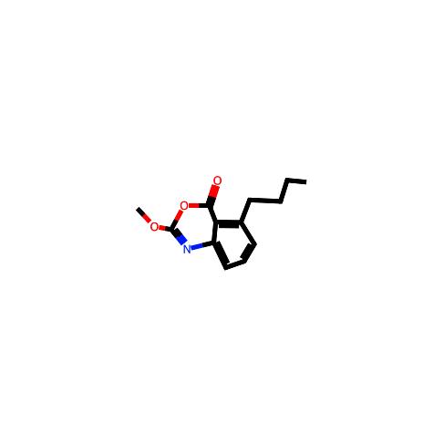 CCCCc1cccc2nc(OC)oc(=O)c12